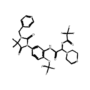 CC1(C)C(=O)N(c2ccc(OC(F)(F)F)c(NC(=O)C(OC(=O)C(F)(F)F)N3CCSCC3)c2)C(=O)N1Cc1ccncc1